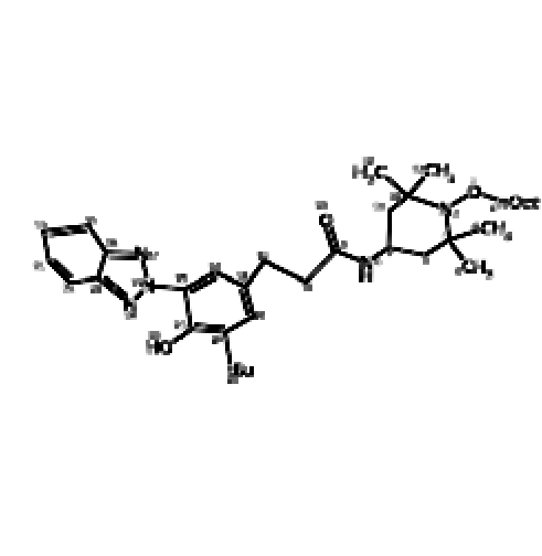 CCCCCCCCON1C(C)(C)CC(NC(=O)CCc2cc(-n3nc4ccccc4n3)c(O)c(C(C)(C)C)c2)CC1(C)C